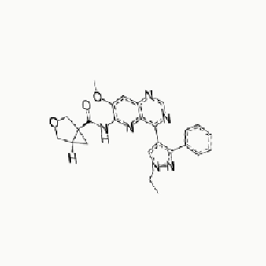 CCn1cc(-c2ncnc3cc(OC)c(NC(=O)[C@]45COC[C@H]4C5)nc23)c(-c2ccccc2)n1